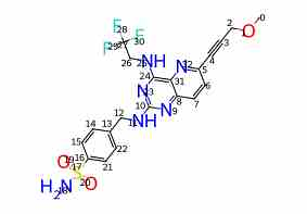 COCC#Cc1ccc2nc(NCc3ccc(S(N)(=O)=O)cc3)nc(NCC(F)(F)F)c2n1